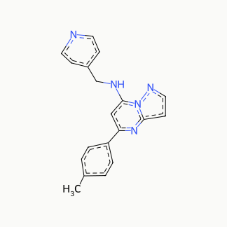 Cc1ccc(-c2cc(NCc3ccncc3)n3nccc3n2)cc1